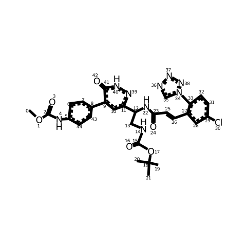 COC(=O)Nc1ccc(-c2cc(C(CNC(=O)OC(C)(C)C)NC(=O)C=Cc3cc(Cl)ccc3-n3cnnn3)n[nH]c2=O)cc1